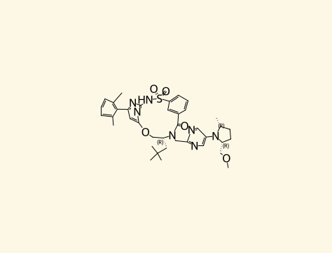 COC[C@H]1CC[C@@H](C)N1c1cnc(CN2C(=O)c3cccc(c3)S(=O)(=O)Nc3nc(cc(-c4c(C)cccc4C)n3)OC[C@H]2CC(C)(C)C)nc1